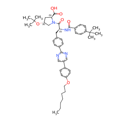 CCCCCCCOc1ccc(-c2cnc(-c3ccc(C[C@H](NC(=O)c4ccc(C(C)(C)C)cc4)C(=O)N4C[C@H](OC(C)(C)C)C[C@H]4C(=O)O)cc3)nc2)cc1